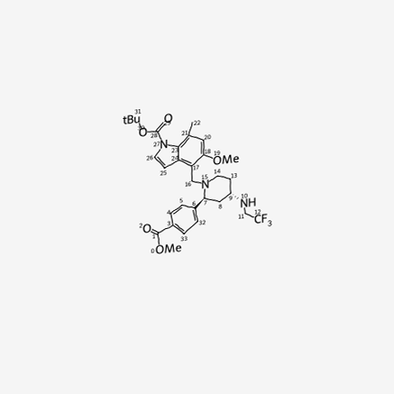 COC(=O)c1ccc([C@@H]2C[C@@H](NCC(F)(F)F)CCN2Cc2c(OC)cc(C)c3c2ccn3C(=O)OC(C)(C)C)cc1